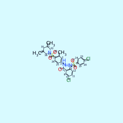 Cc1cc(NC(=O)c2cc(Cl)ccc2NS(=O)(=O)c2ccc(Cl)cc2)ccc1S(=O)(=O)N1CC(C)CC(C)C1